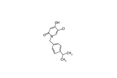 CC(C)c1ccc(Cn2cc(Cl)c(O)cc2=O)cc1